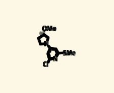 CO[C@H]1CCN(c2cc(Cl)nc(SC)c2)C1